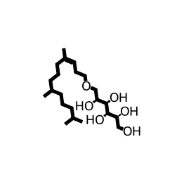 CC(=CCCOC[C@H](O)[C@@H](O)[C@H](O)[C@H](O)CO)CCCC(C)CCCC(C)C